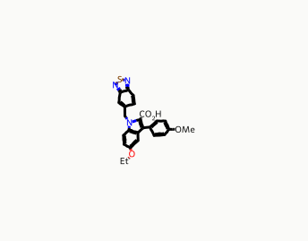 CCOc1ccc2c(c1)c(-c1ccc(OC)cc1)c(C(=O)O)n2Cc1ccc2nsnc2c1